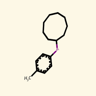 Cc1ccc([P]C2CCCCCCCC2)cc1